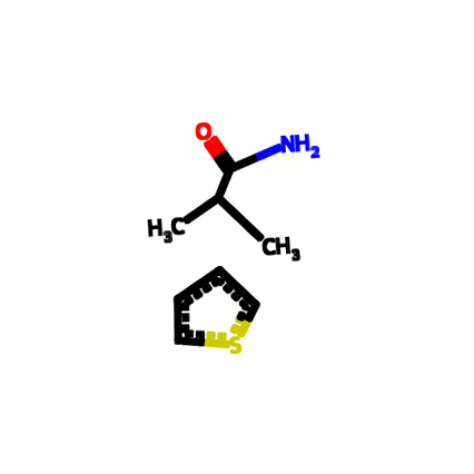 CC(C)C(N)=O.c1ccsc1